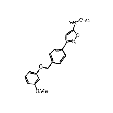 COc1cccc(OCc2ccc(-c3cc(NC=O)on3)cc2)c1